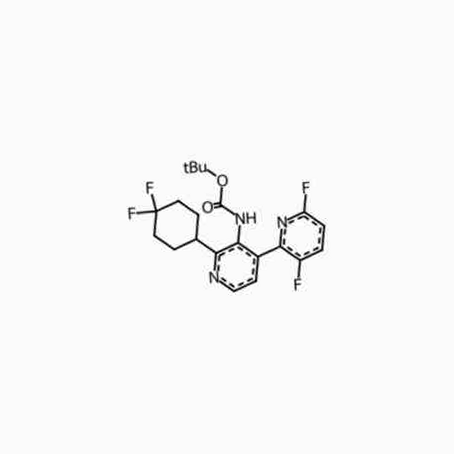 CC(C)(C)OC(=O)Nc1c(-c2nc(F)ccc2F)ccnc1C1CCC(F)(F)CC1